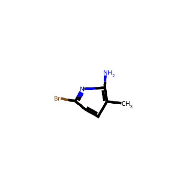 Cc1ccc(Br)nc1N